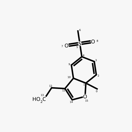 CC12C=CC(S(C)(=O)=O)=CC1C(CC(=O)O)=CO2